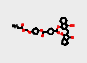 C=CC(=O)OCOc1ccc(OC(=O)C2CCC(C(=O)Oc3cc(C=C4C(=O)c5ccccc5C4=O)c(O)c4ccccc34)CC2)cc1